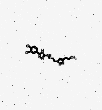 CCCc1cn(CCCNc2ncc(-c3ccc(Cl)c(Cl)c3)[nH]2)nn1